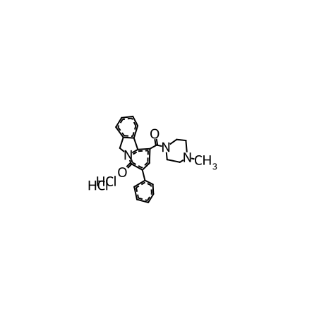 CN1CCN(C(=O)c2cc(-c3ccccc3)c(=O)n3c2-c2ccccc2C3)CC1.Cl.Cl